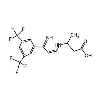 CC(CC(=O)O)N/C=C\C(=N)c1cc(C(F)(F)F)cc(C(F)(F)F)c1